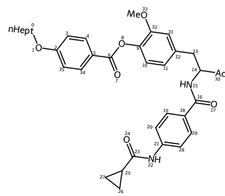 CCCCCCCOc1ccc(C(=O)Oc2ccc(CC(NC(=O)c3ccc(NC(=O)C4CC4)cc3)C(C)=O)cc2OC)cc1